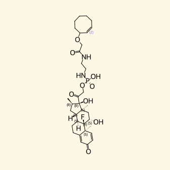 C[C@@H]1C[C@H]2[C@@H]3CCC4=CC(=O)C=C[C@]4(C)[C@@]3(F)[C@@H](O)C[C@]2(C)[C@@]1(O)C(=O)COP(=O)(O)NCCNC(=O)COC1/C=C\CCCCC1